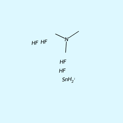 CN(C)C.F.F.F.F.[SnH2]